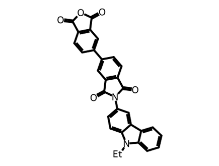 CCn1c2ccccc2c2cc(N3C(=O)c4ccc(-c5ccc6c(c5)C(=O)OC6=O)cc4C3=O)ccc21